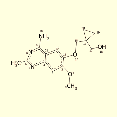 COc1cc2nc(C)nc(N)c2cc1OCC1(CO)CC1